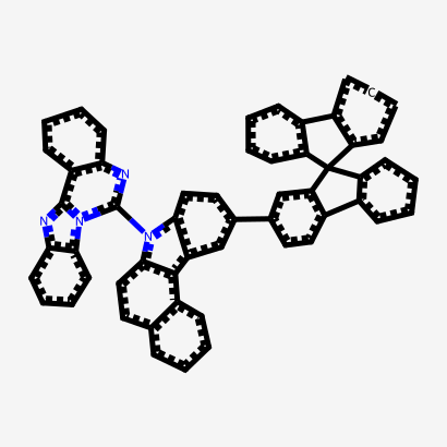 c1ccc2c(c1)-c1ccccc1C21c2ccccc2-c2ccc(-c3ccc4c(c3)c3c5ccccc5ccc3n4-c3nc4ccccc4c4nc5ccccc5n34)cc21